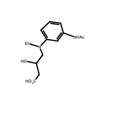 CCN(CC(O)CS(=O)(=O)O)c1cccc(NC(C)=O)c1